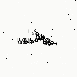 Cc1ccc(S(=O)(=O)n2c(-c3ccc(C4CCN(CCO[Si](C)(C)C(C)(C)C)CC4)cc3)cc3c(-c4cccc(-n5ccc6cc(C7CC7)ccc6c5=O)c4C)ncnc32)cc1